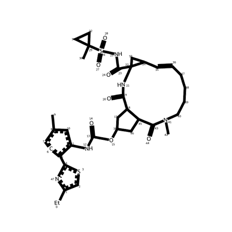 CCc1csc(-c2ccc(C)cc2NC(=O)OC2CC3C(=O)NC4(C(=O)NS(=O)(=O)C5(C)CC5)CC4/C=C/CCCCN(C)C(=O)C3C2)n1